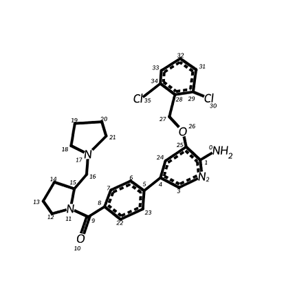 Nc1ncc(-c2ccc(C(=O)N3CCCC3CN3CCCC3)cc2)cc1OCc1c(Cl)cccc1Cl